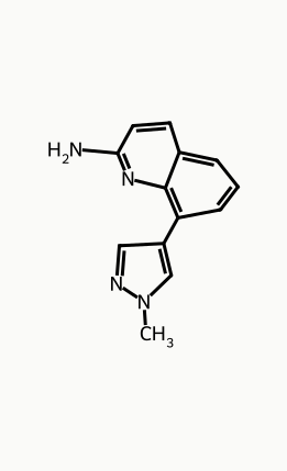 Cn1cc(-c2cccc3ccc(N)nc23)cn1